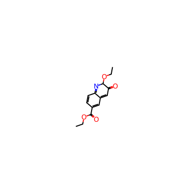 CCOC(=O)c1ccc2c(c1)=CC(=O)C(OCC)N=2